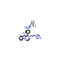 CCN(CC)CCNc1ccc2c3c4c(nc2c1)c1ccccc1n4CCCN3CCCN1CCN(C)CC1